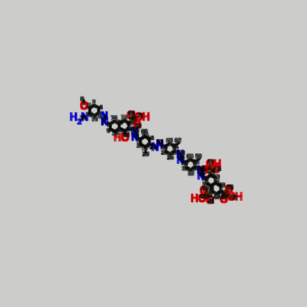 COc1ccc(N=Nc2ccc3c(O)c(N=Nc4cc(C)c(N=Nc5ccc(N=Nc6ccc(N=Nc7cc8c(S(=O)(=O)O)cc(S(=O)(=O)O)cc8cc7S(=O)(=O)O)c(C)c6)c(C)c5)cc4C)c(S(=O)(=O)O)cc3c2)cc1N